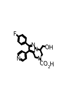 O=C(O)N1Cc2c(-c3ccncc3)c(-c3ccc(F)cc3)nn2C(CO)C1